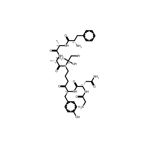 CCC[C@](CC(C)C)(C(=O)O)N(CCCC(=O)[C@H](Cc1ccc(O)cc1)NC(=O)[C@H](CC(N)=O)NC(=O)CN)C(=O)[C@H](C)NC(=O)[C@H](C)NC(=O)[C@@H](N)Cc1ccccc1